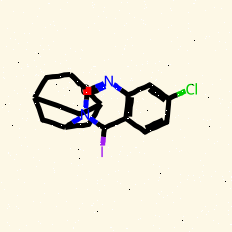 Clc1ccc2c(c1)N=C1C3CC4CC(C3)CC(C4)N1C2I